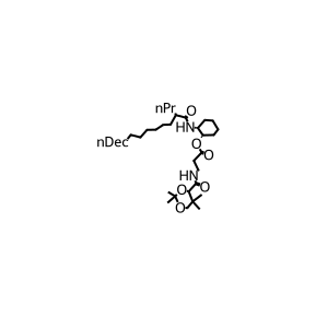 CCCCCCCCCCCCCCCCC(CCC)C(=O)N[C@H]1CCCC[C@@H]1OC(=O)CCNC(=O)C1OC(C)(C)OCC1(C)C